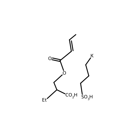 CC=CC(=O)OCC(CC)C(=O)O.O=S(=O)(O)CC[CH2][K]